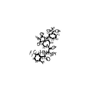 CC(C)[C@@H](NC(=O)c1cc(C(F)(F)F)ccc1F)C(=O)N1CCC2(CC1)C(=O)N(C)C(=O)N2c1cccc(S(C)(=O)=O)c1